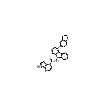 O=C(NC1c2ccccc2-c2c(-c3ccc4c(c3)CCO4)cccc21)c1ccnc2[nH]ccc12